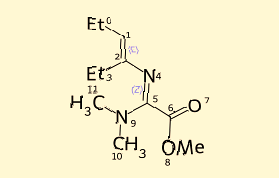 CC/C=C(CC)/N=C(/C(=O)OC)N(C)C